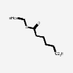 CCCCCCCOC(=O)CCCCC(=O)O